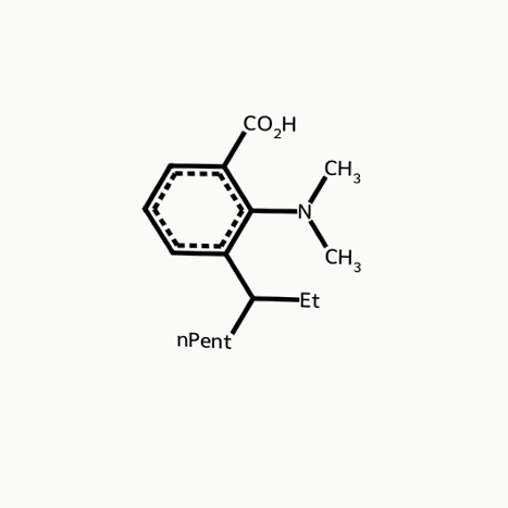 CCCCCC(CC)c1cccc(C(=O)O)c1N(C)C